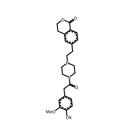 COc1cc(CC(=O)N2CCN(CCc3ccc4c(c3)CCOC4=O)CC2)ccc1C#N